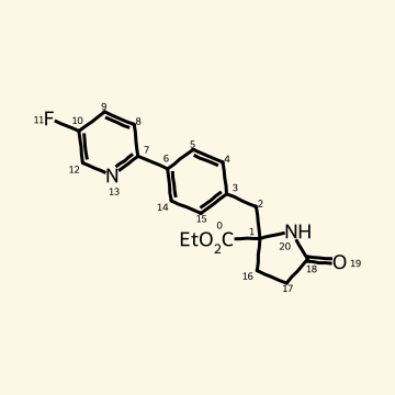 CCOC(=O)C1(Cc2ccc(-c3ccc(F)cn3)cc2)CCC(=O)N1